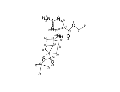 CCOC(=O)c1cnc(N)nc1NC12CC3CC4(C(=O)OC(C)(C)C)CC(C1)C324